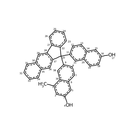 Cc1cc(O)cc2ccc(C3(c4ccc5cc(O)ccc5c4)c4ccccc4-c4cc5ccccc5cc43)cc12